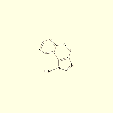 Nn1cnc2cnc3ccccc3c21